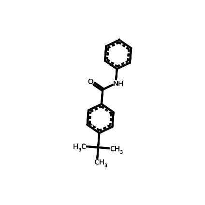 CC(C)(C)c1ccc(C(=O)Nc2cc[c]cc2)cc1